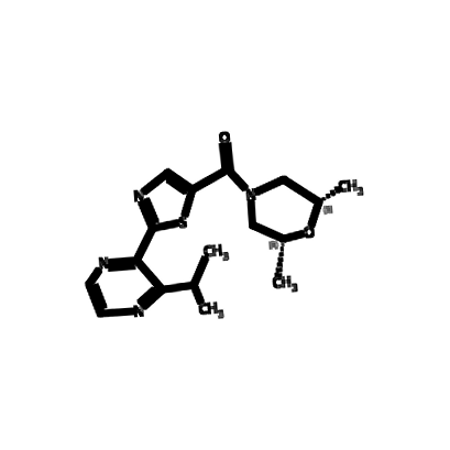 CC(C)c1nccnc1-c1ncc(C(=O)N2C[C@@H](C)O[C@@H](C)C2)s1